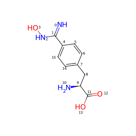 N=C(NO)c1ccc(C[C@H](N)C(=O)O)cc1